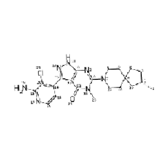 C[C@H]1CCC2(CCN(c3nc4[nH]nc(-c5ccnc(N)c5Cl)c4c(=O)n3C)CC2)C1